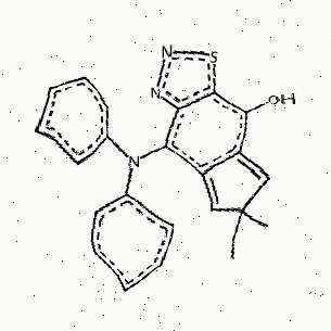 CC1(C)C=c2c(N(c3ccccc3)c3ccccc3)c3nnsc3c(O)c2=C1